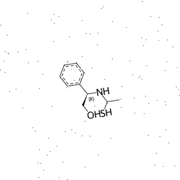 CC(S)N[C@@H](CO)c1ccccc1